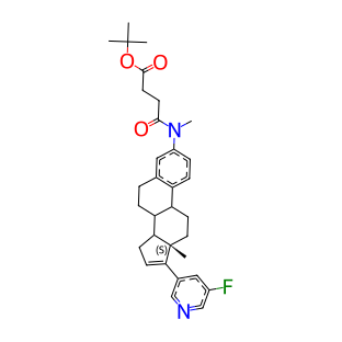 CN(C(=O)CCC(=O)OC(C)(C)C)c1ccc2c(c1)CCC1C2CC[C@]2(C)C(c3cncc(F)c3)=CCC12